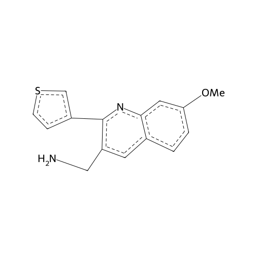 COc1ccc2cc(CN)c(-c3ccsc3)nc2c1